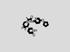 C[C@@H](C(=O)Nc1ccc(OC2CCCC2)cn1)N1CCC(F)(F)[C@@H](c2ccc(=O)[nH]c2)C1